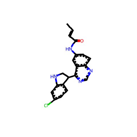 CC=CC(=O)Nc1ccc2ncnc(C3CNc4cc(Cl)ccc43)c2c1